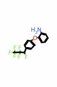 Nc1ccccc1Oc1ccc(C(F)C(F)(F)C(F)(F)F)cc1